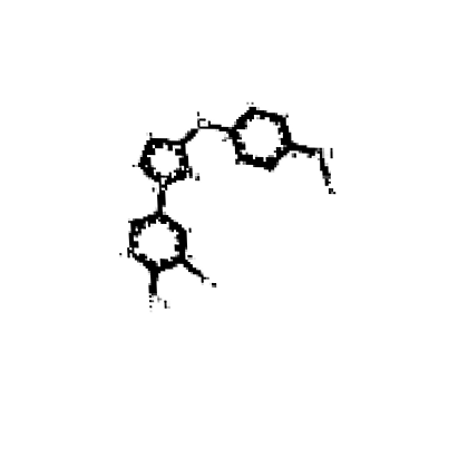 Cc1ncc(-n2ccc(Oc3ccc(NF)cc3)n2)cc1F